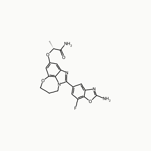 C[C@@H](Oc1cc2c3c(c1)nc(-c1cc(F)c4oc(N)nc4c1)n3CCCO2)C(N)=O